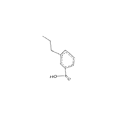 CCCc1cccc(C(=O)O)c1